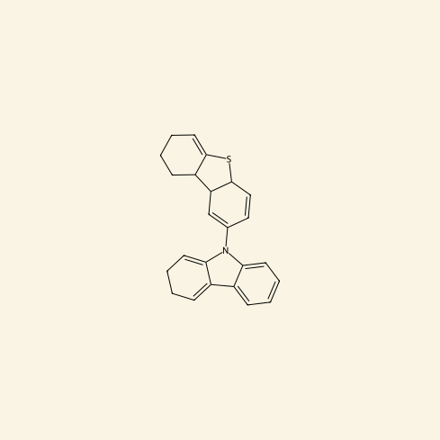 C1=CC2SC3=CCCCC3C2C=C1n1c2c(c3ccccc31)=CCCC=2